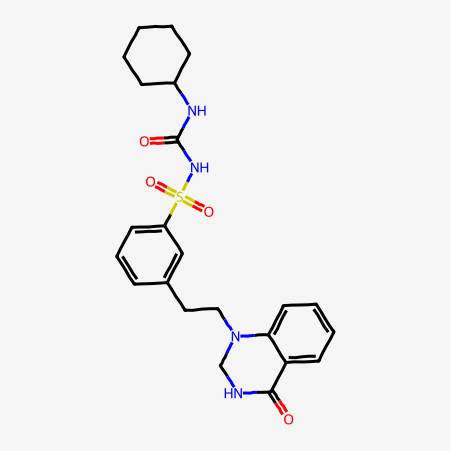 O=C(NC1CCCCC1)NS(=O)(=O)c1cccc(CCN2CNC(=O)c3ccccc32)c1